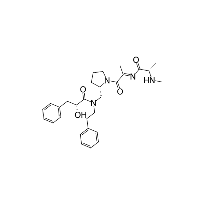 CN[C@@H](C)C(=O)/N=C(\C)C(=O)N1CCC[C@H]1CN(CCc1ccccc1)C(=O)[C@H](O)Cc1ccccc1